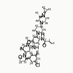 C=CC(=O)Nc1cc(Nc2cc(N3OCC[C@@H]3c3cc(F)cc(Cl)c3)ncn2)c(OC)cc1N1CCC(N2CCN(C3CC3)[C@@H](C)C2)CC1